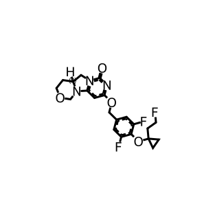 O=c1nc(OCc2cc(F)c(OC3(CCF)CC3)c(F)c2)cc2n1C[C@H]1CCOCN21